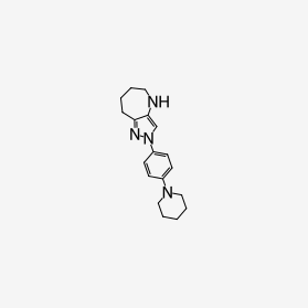 c1cc(-n2cc3c(n2)CCCCN3)ccc1N1CCCCC1